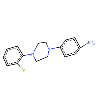 Nc1ccc(N2CCN(c3ccccc3F)CC2)cc1